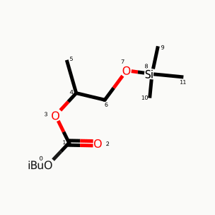 CC(C)COC(=O)OC(C)CO[Si](C)(C)C